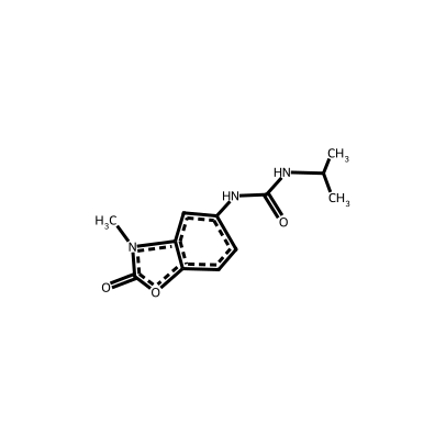 CC(C)NC(=O)Nc1ccc2oc(=O)n(C)c2c1